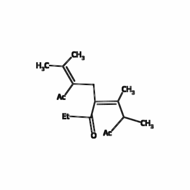 CCC(=O)/C(CC(C(C)=O)=C(C)C)=C(/C)C(C)C(C)=O